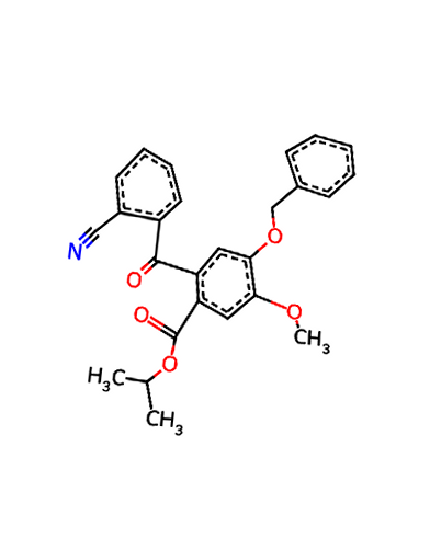 COc1cc(C(=O)OC(C)C)c(C(=O)c2ccccc2C#N)cc1OCc1ccccc1